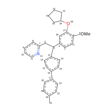 COc1ccc(C(Cc2ccccn2)c2ccc(-c3ccc(C)cc3)cc2)cc1OC1CCCC1